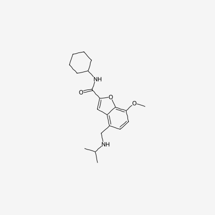 COc1ccc(CNC(C)C)c2cc(C(=O)NC3CCCCC3)oc12